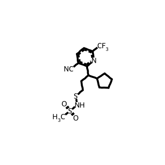 CS(=O)(=O)NSCCC(c1nc(C(F)(F)F)ccc1C#N)C1CCCC1